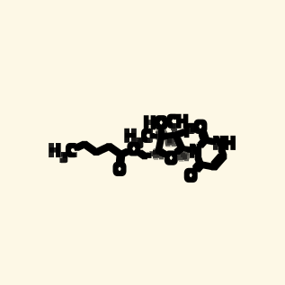 CCCCC(=O)OC[C@H]1O[C@H](n2c(=O)cc[nH]c2=O)[C@](C)(F)[C@]1(C)O